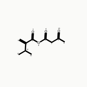 C=C(C(=O)OC(=O)CC(C)=O)C(C)C